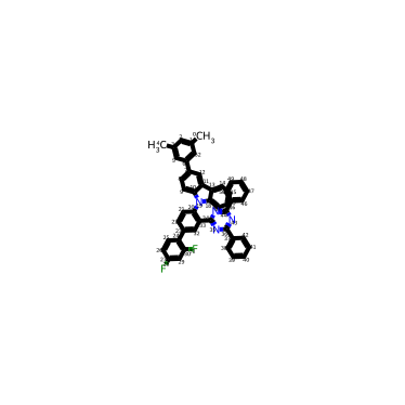 Cc1cc(C)cc(-c2ccc3c(c2)c2ccccc2n3-c2ccc(-c3ccc(F)cc3F)cc2-c2nc(-c3ccccc3)nc(-c3ccccc3)n2)c1